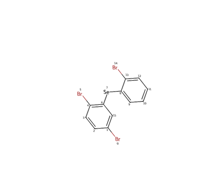 Brc1ccc(Br)c([Se]c2ccccc2Br)c1